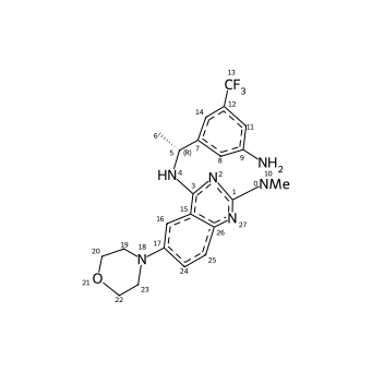 CNc1nc(N[C@H](C)c2cc(N)cc(C(F)(F)F)c2)c2cc(N3CCOCC3)ccc2n1